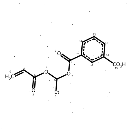 C=CC(=O)OC(CC)OC(=O)c1cccc(C(=O)O)c1